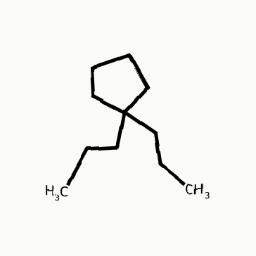 CCCC1(CCC)CCCC1